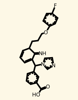 N=C1C(C(c2cccc(C(=O)O)c2)n2ccnc2)=CC=CC1CCCOc1ccc(F)cc1